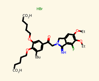 Br.CCOc1cc2c(c(F)c1OCC)C(=N)N(CC(=O)c1cc(OCCCCC(=O)O)c(OCCCCC(=O)O)c(C(C)(C)C)c1)C2